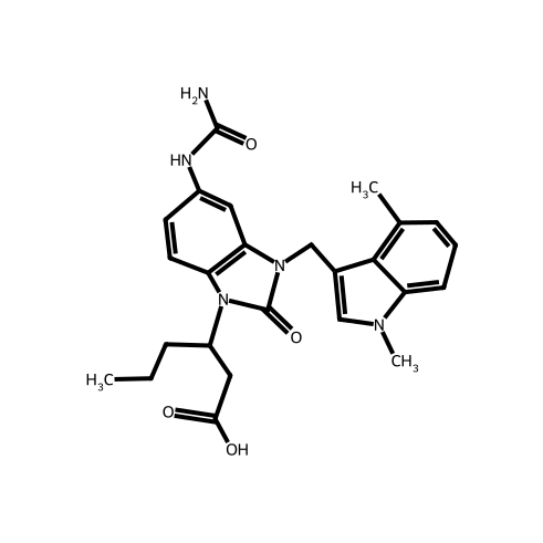 CCCC(CC(=O)O)n1c(=O)n(Cc2cn(C)c3cccc(C)c23)c2cc(NC(N)=O)ccc21